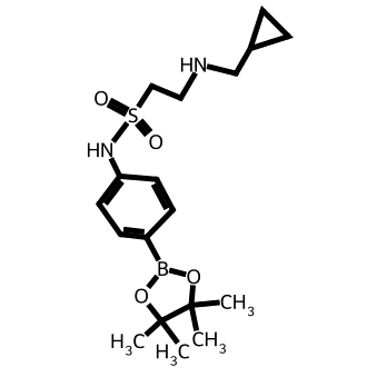 CC1(C)OB(c2ccc(NS(=O)(=O)CCNCC3CC3)cc2)OC1(C)C